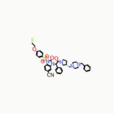 N#Cc1ccc2c(c1)n(C(C(=O)N1CC[C@H](CN3CCN(Cc4ccccc4)CC3)C1)c1ccccc1)c(=O)n2S(=O)(=O)c1ccc(OCCF)cc1